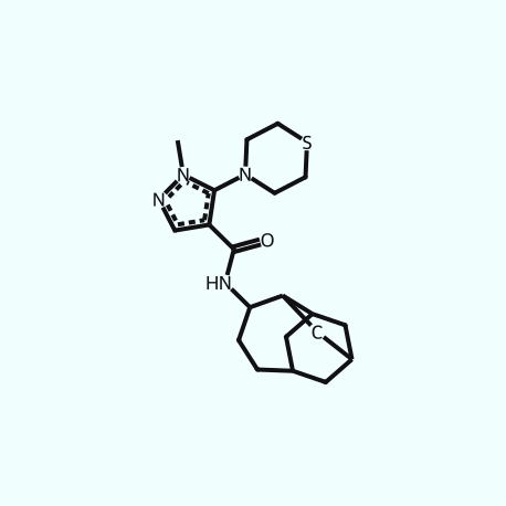 Cn1ncc(C(=O)NC2CCC3CC4CC(C3)C2C4)c1N1CCSCC1